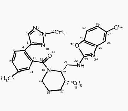 Cc1ccc(-c2cnn(C)n2)c(C(=O)N2CCC[C@@H](C)[C@H]2CNc2nc3cc(Cl)ccc3o2)c1